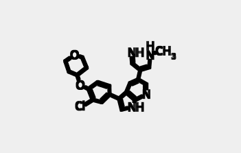 CN/C=C(\C=N)c1cnc2[nH]cc(-c3ccc(OC4CCOCC4)c(Cl)c3)c2c1